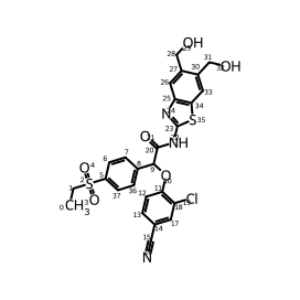 CCS(=O)(=O)c1ccc(C(Oc2ccc(C#N)cc2Cl)C(=O)Nc2nc3cc(CO)c(CO)cc3s2)cc1